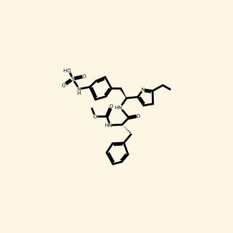 CCC1=NC([C@H](Cc2ccc(NS(=O)(=O)O)cc2)NC(=O)[C@H](Cc2ccccc2)NC(=O)OC)=CC1